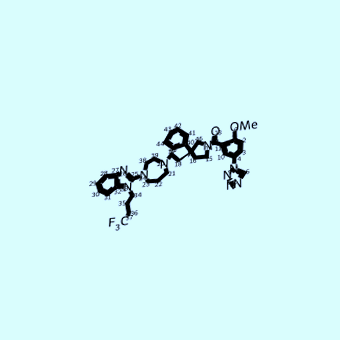 COc1ccc(-n2cnnn2)cc1C(=O)N1CC[C@](CCN2CCCN(c3nc4ccccc4n3CCCC(F)(F)F)CC2)(c2ccccc2)C1